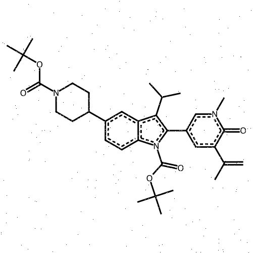 C=C(C)c1cc(-c2c(C(C)C)c3cc(C4CCN(C(=O)OC(C)(C)C)CC4)ccc3n2C(=O)OC(C)(C)C)cn(C)c1=O